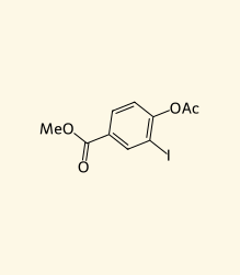 COC(=O)c1ccc(OC(C)=O)c(I)c1